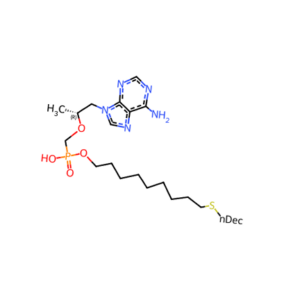 CCCCCCCCCCSCCCCCCCCCOP(=O)(O)CO[C@H](C)Cn1cnc2c(N)ncnc21